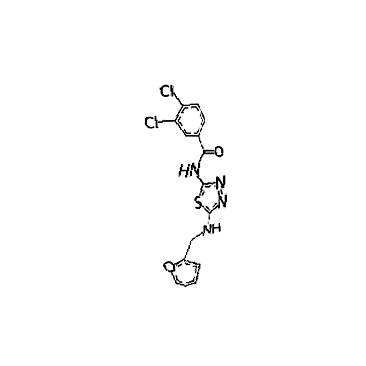 O=C(Nc1nnc(NCc2ccco2)s1)c1ccc(Cl)c(Cl)c1